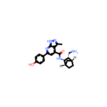 Cc1n[nH]c2nc(-c3ccc(O)cc3)cc(C(=O)N[C@@H]3[C@H]4CC[C@H](C4)[C@H]3CN)c12